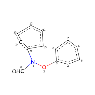 O=CN(Oc1ccccc1)c1c[c]ccc1